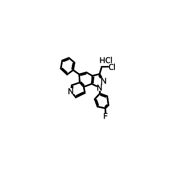 Cl.Fc1ccc(-n2nc(CCl)c3cc(-c4ccccc4)c4cnccc4c32)cc1